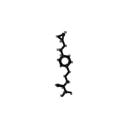 CN(C)C(=O)OCCc1ccc(OCC2CO2)cc1